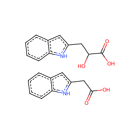 O=C(O)C(O)Cc1cc2ccccc2[nH]1.O=C(O)Cc1cc2ccccc2[nH]1